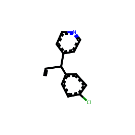 C=CC(c1ccncc1)c1ccc(Cl)cc1